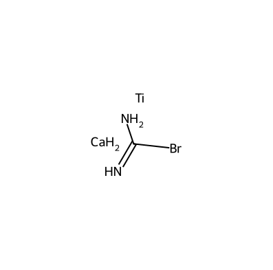 N=C(N)Br.[CaH2].[Ti]